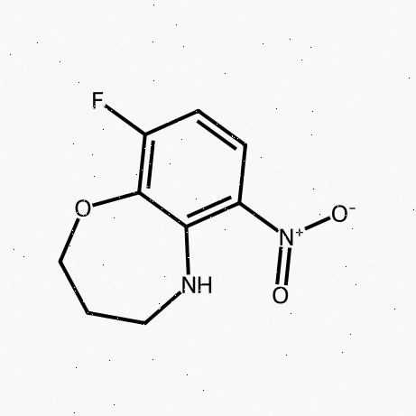 O=[N+]([O-])c1ccc(F)c2c1NCCCO2